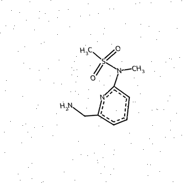 CN(c1cccc(CN)n1)S(C)(=O)=O